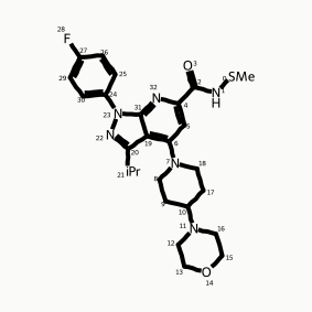 CSNC(=O)c1cc(N2CCC(N3CCOCC3)CC2)c2c(C(C)C)nn(-c3ccc(F)cc3)c2n1